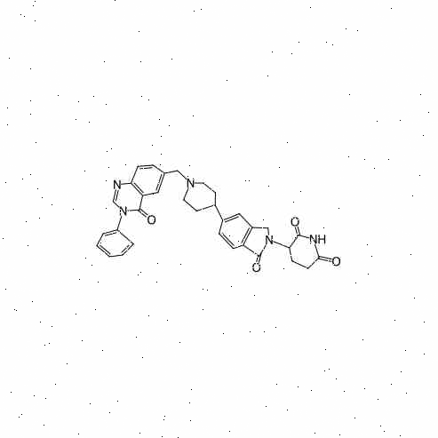 O=C1CCC(N2Cc3cc(C4CCN(Cc5ccc6ncn(-c7ccccc7)c(=O)c6c5)CC4)ccc3C2=O)C(=O)N1